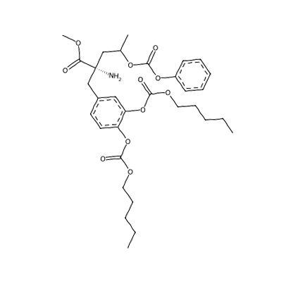 CCCCCOC(=O)Oc1ccc(C[C@](N)(CC(C)OC(=O)Oc2ccccc2)C(=O)OC)cc1OC(=O)OCCCCC